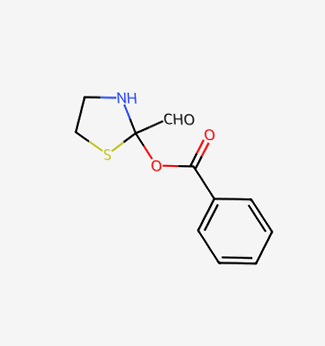 O=CC1(OC(=O)c2ccccc2)NCCS1